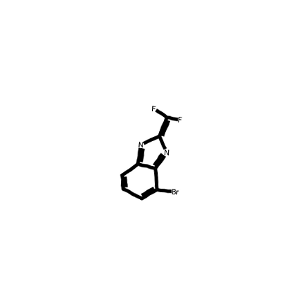 FC(F)=C1N=c2cccc(Br)c2=N1